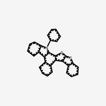 c1ccc(-n2c3ccccc3c3c4ccccc4c4c(sc5sc6ccccc6c54)c32)cc1